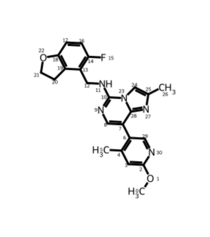 COc1cc(C)c(-c2cnc(NCc3c(F)ccc4c3CCO4)n3cc(C)nc23)cn1